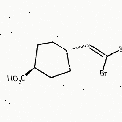 O=C(O)[C@H]1CC[C@H](C=C(Br)Br)CC1